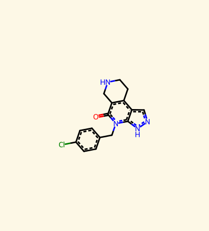 O=c1c2c(c3cn[nH]c3n1Cc1ccc(Cl)cc1)CCNC2